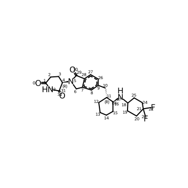 O=C1CC[C@@H](N2Cc3cc(C[C@H]4CCCC[C@@H]4NC4CCC(F)(F)CC4)ccc3C2=O)C(=O)N1